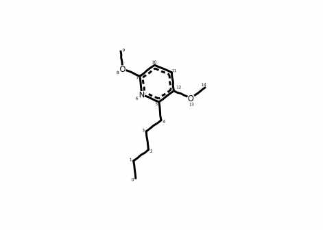 CCCCCc1nc(OC)ccc1OC